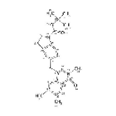 Cc1cc2c(Cc3ccc4c(c3)CCN4C(=O)OC(C)(C)C)nn(C)c(=O)c2cc1C